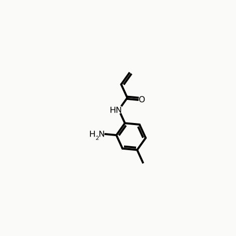 C=CC(=O)Nc1ccc(C)cc1N